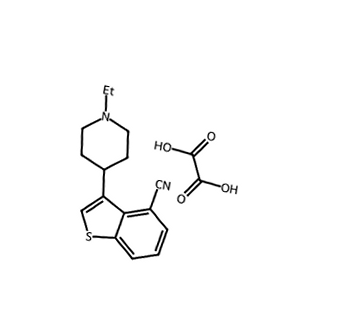 CCN1CCC(c2csc3cccc(C#N)c23)CC1.O=C(O)C(=O)O